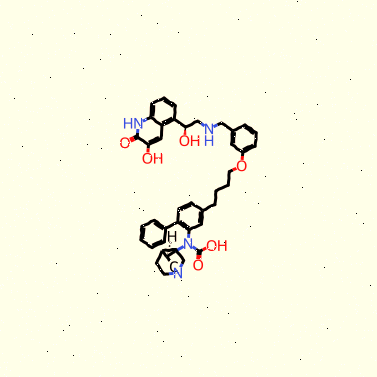 O=C(O)N(c1cc(CCCCOc2cccc(CNC[C@@H](O)c3cccc4[nH]c(=O)c(O)cc34)c2)ccc1-c1ccccc1)[C@H]1CN2CCC1CC2